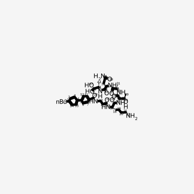 CCCCc1ccc(-c2ccc(C(=O)NCCC(=O)N[C@@H](CCCCN)C(=O)N[C@H](C(=O)N[C@@H](C)C(=O)N[C@@H](CC(N)=O)C(=O)N[C@@H](C)C(O)O)[C@@H](C)O)cc2)cc1